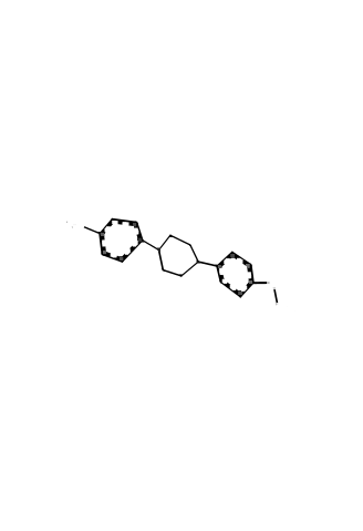 CCCCOc1ccc(C2CCC(c3ccc(C#N)cc3)CC2)cc1